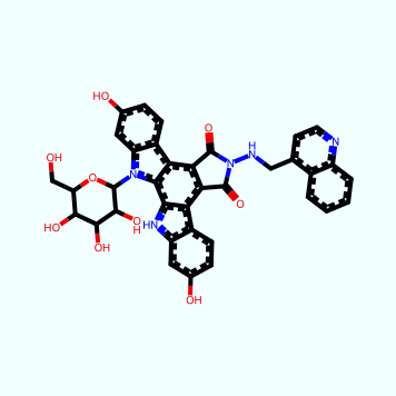 O=C1c2c(c3c4ccc(O)cc4n(C4OC(CO)C(O)C(O)C4O)c3c3[nH]c4cc(O)ccc4c23)C(=O)N1NCc1ccnc2ccccc12